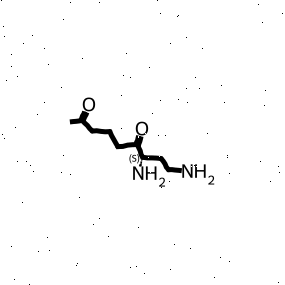 CC(=O)CCCC(=O)[C@@H](N)CCN